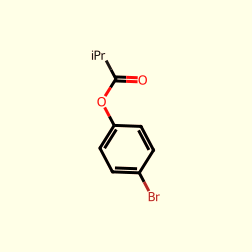 CC(C)C(=O)Oc1ccc(Br)cc1